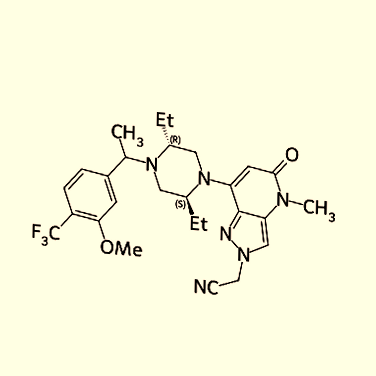 CC[C@H]1CN(C(C)c2ccc(C(F)(F)F)c(OC)c2)[C@H](CC)CN1c1cc(=O)n(C)c2cn(CC#N)nc12